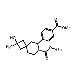 COC(=O)c1ccc(C2CC3(CCN2C(=O)OC(C)(C)C)CC(C)(O)C3)cc1